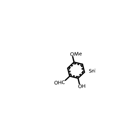 COc1ccc(O)c(C=O)c1.[Sn]